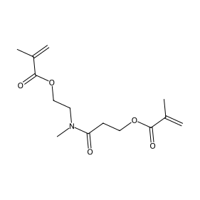 C=C(C)C(=O)OCCC(=O)N(C)CCOC(=O)C(=C)C